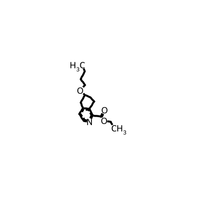 CCCCOC1CCc2c(ccnc2C(=O)OCC)C1